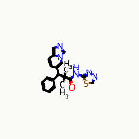 CC(C)(C(=O)Nc1nncs1)C(c1ccccc1)c1ccc2cncn2c1